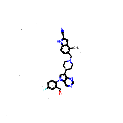 Cc1c(CN2CCC(c3cn(-c4ccc(F)cc4C=O)c4cncnc34)CC2)ccc2[nH]c(C#N)cc12